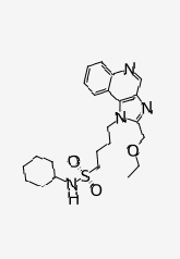 CCOCc1nc2cnc3ccccc3c2n1CCCCS(=O)(=O)NC1CCCCC1